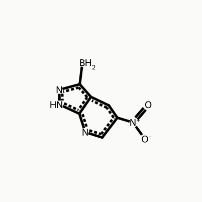 Bc1n[nH]c2ncc([N+](=O)[O-])cc12